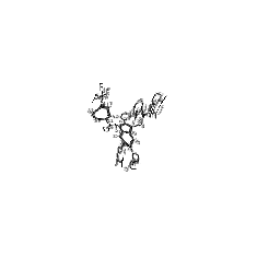 CNC(=O)Cc1c(C)n(C(=O)c2ccc(C(F)(F)F)cc2)c2cc(F)c(OC)cc12